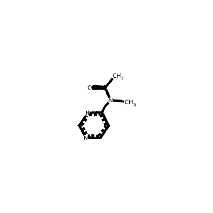 CC(=O)N(C)c1ccn[c]n1